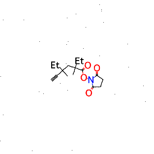 C#CC(C)(CC)CC(C)(CC)C(=O)ON1C(=O)CCC1=O